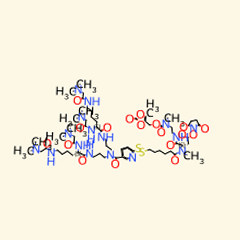 Cc1oc(=O)oc1COC(=O)N(C)CCNC(=O)[C@H](CC(=O)ON1C(=O)CCC1=O)N(C)C(=O)CCCCCSSc1ccc(C(=O)N(CCCNC(=O)[C@H](CCCCNC(=O)CN(C)C)NC(=O)CN(C)C)CCCNC(=O)[C@H](CCCCNC(=O)CN(C)C)NC(=O)CN(C)C)cn1